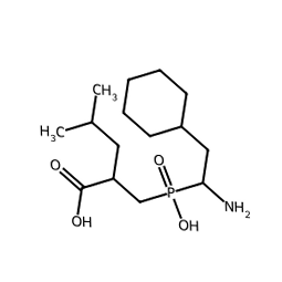 CC(C)CC(CP(=O)(O)C(N)CC1CCCCC1)C(=O)O